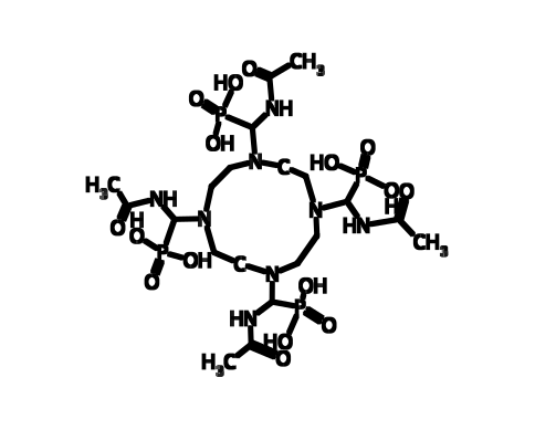 CC(=O)NC(N1CCN(C(NC(C)=O)P(=O)(O)O)CCN(C(NC(C)=O)P(=O)(O)O)CCN(C(NC(C)=O)P(=O)(O)O)CC1)P(=O)(O)O